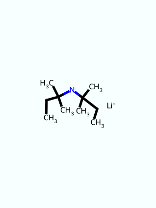 CCC(C)(C)[N-]C(C)(C)CC.[Li+]